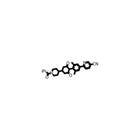 Cc1cc(-c2ccc(C#N)cn2)cc(C)c1C1C(=O)CC(C2CCN(C(=O)C(C)C)CC2)CC1=O